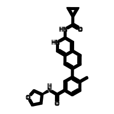 Cc1ccc(C(=O)N[C@H]2CCOC2)cc1-c1ccc2c(c1)=CNC(NC(=O)C1CC1)C=2